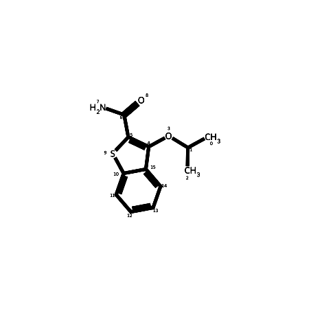 CC(C)Oc1c(C(N)=O)sc2ccccc12